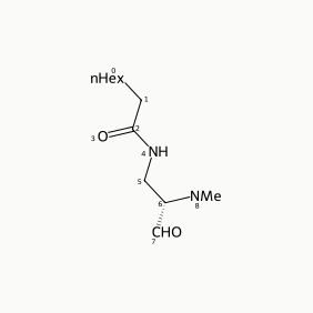 CCCCCCCC(=O)NC[C@@H](C=O)NC